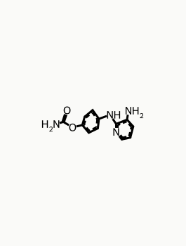 NC(=O)Oc1ccc(Nc2ncccc2N)cc1